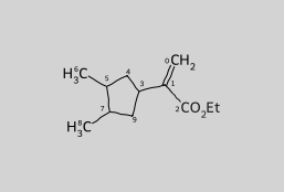 C=C(C(=O)OCC)C1CC(C)C(C)C1